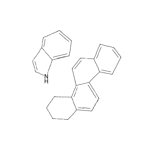 c1ccc2[nH]ccc2c1.c1ccc2c(c1)ccc1c3c(ccc12)CCCC3